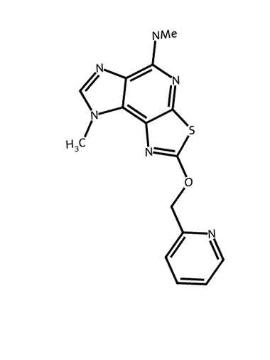 CNc1nc2sc(OCc3ccccn3)nc2c2c1ncn2C